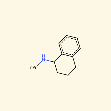 CCCNC1CCCc2ccccc21